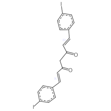 O=C(/C=C/c1ccc(I)cc1)CC(=O)/C=C/c1ccc(I)cc1